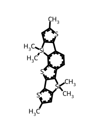 Cc1cc2c(s1)-c1ccc3c4c(sc3c1[Si]2(C)C)-c1sc(C)cc1[Si]4(C)C